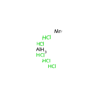 Cl.Cl.Cl.Cl.Cl.[AlH3].[Mn]